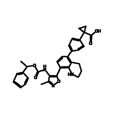 Cc1noc(-c2ccc(-c3ccc(C4(C(=O)O)CC4)cc3)c3c2NCCC3)c1NC(=O)OC(C)c1ccccc1